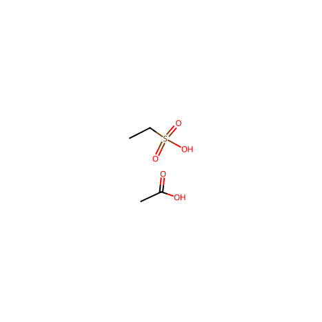 CC(=O)O.CCS(=O)(=O)O